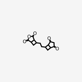 O=C1CC(=O)C2C(CCC3CC4C(=O)OC(=O)C34)CC12